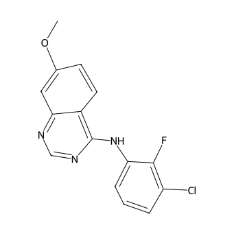 COc1ccc2c(Nc3cccc(Cl)c3F)ncnc2c1